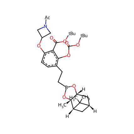 CC(=O)N1CC(Oc2ccc(CCB3O[C@@H]4C[C@@H]5C[C@@H](C5(C)C)[C@]4(C)O3)c(OC(=O)OC(C)(C)C)c2C(=O)OC(C)(C)C)C1